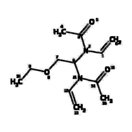 C=CN(C(C)=O)C(COCC)N(C=C)C(C)=O